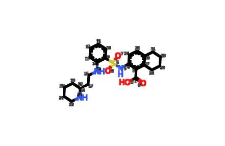 O=C(O)c1c(NS(=O)(=O)c2ccccc2NCC[C@@H]2CCCCN2)ccc2c1CCCC2